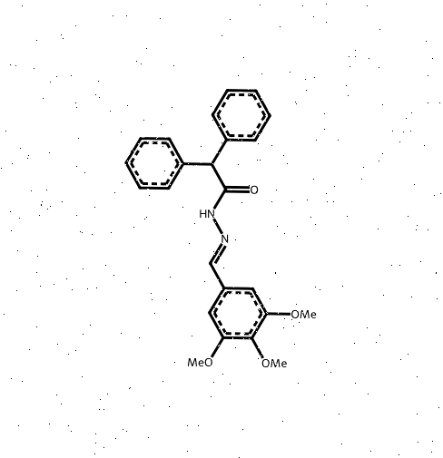 COc1cc(C=NNC(=O)C(c2ccccc2)c2ccccc2)cc(OC)c1OC